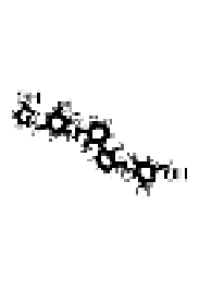 Cc1c(-c2nc3cc(CO)cc(Cl)c3o2)cccc1-c1cccc(-c2nc3cc(CN4CC[C@H](O)C4)cc(Cl)c3o2)c1C